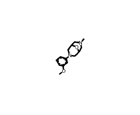 COc1cccc(N2CC3CN(C)CC(C2)O3)c1